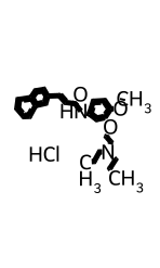 CCCN(CCC)CCOc1cc(NC(=O)C=Cc2ccc3ccccc3c2)ccc1OC.Cl